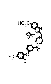 O=C(O)c1ccc2nc(CN3CCN(C(=O)c4cccc(Oc5ccc(C(F)(F)F)cc5Cl)c4)CC3)n(C[C@@H]3CCO3)c2c1